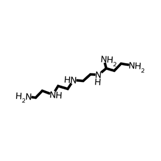 NCCNCCNCCNC(N)CCN